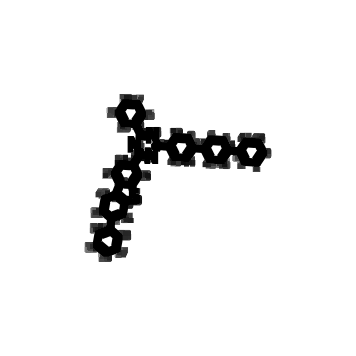 c1ccc(-c2ccc(-c3ccc(-c4nc(-c5ccccc5)nc(-c5ccc6c(c5)sc5cc(-c7ccccc7)ccc56)n4)cc3)cc2)cc1